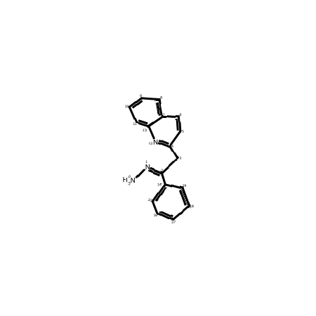 NN=C(Cc1ccc2ccccc2n1)c1ccccc1